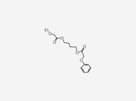 CCOCC(=O)OCC[CH]COC(=O)COc1ccccc1